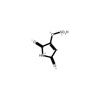 O=C1C=C(OS(=O)(=O)O)C(=O)N1